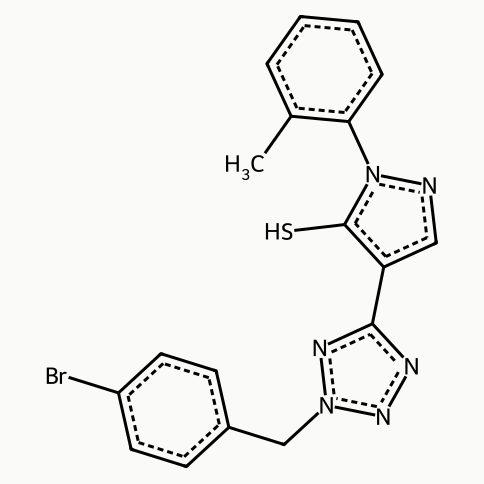 Cc1ccccc1-n1ncc(-c2nnn(Cc3ccc(Br)cc3)n2)c1S